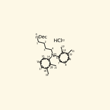 CCCCCCCCCCCCCCN(c1cccc(C)c1C)c1cccc(C)c1C.Cl